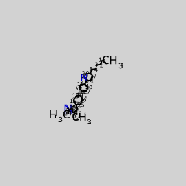 CCCCCCc1ccc(-c2ccc([C@H]3CC[C@@](C#N)(C[C@@H](C)CC)CC3)cc2)nc1